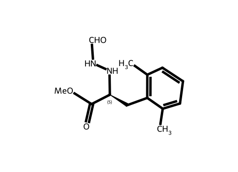 COC(=O)[C@H](Cc1c(C)cccc1C)NNC=O